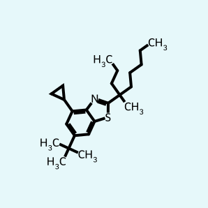 CCCCCC(C)(CCC)c1nc2c(C3CC3)cc(C(C)(C)C)cc2s1